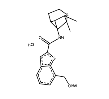 COCc1cccc2cc(C(=O)NC3C4CCN(CC4)C3(C)C)sc12.Cl